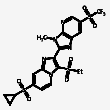 CCS(=O)(=O)c1c(-c2nc3cc(S(=O)(=O)C(F)(F)F)cnc3n2C)nc2cc(S(=O)(=O)C3CC3)ccn12